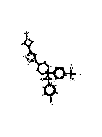 CC(=O)N1CC(c2cn(C3CCC(c4ccc(C(F)(C(F)(F)F)C(F)(F)F)cc4)(S(=O)(=O)c4ccc(F)cc4)CC3)nn2)C1